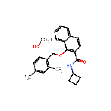 O=C(NC1CCC1)c1ccc2ccccc2c1OCc1ccc(C(F)(F)F)cc1C(F)(F)F.O=C(O)O